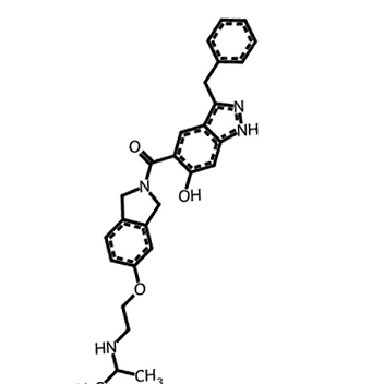 CC(C)NCCOc1ccc2c(c1)CN(C(=O)c1cc3c(Cc4ccccc4)n[nH]c3cc1O)C2